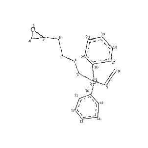 C=C[Si](CCCCC1CO1)(c1ccccc1)c1ccccc1